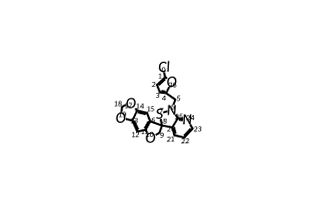 Clc1ccc(CN2SC3(COc4cc5c(cc43)OCO5)c3cccnc32)o1